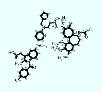 CN(C)CCN(Cc1cccs1)c1ccccn1.COc1cc2c(c(OC)c1OC)-c1ccc(OC)c(=O)cc1[C@@H](NC(C)=O)CC2.COc1ccc2c(c1)c(CC(=O)O)c(C)n2C(=O)c1ccc(Cl)cc1